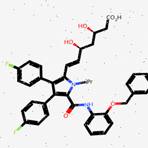 CC(C)n1c(/C=C/[C@@H](O)C[C@@H](O)CC(=O)O)c(-c2ccc(F)cc2)c(-c2ccc(F)cc2)c1C(=O)Nc1ccccc1OCc1ccccc1